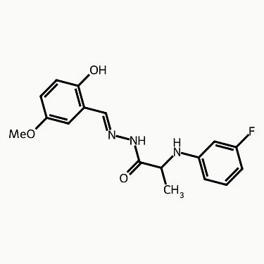 COc1ccc(O)c(C=NNC(=O)C(C)Nc2cccc(F)c2)c1